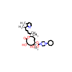 C/C(=C\C=C\C(C)c1ncccc1C)[C@H]1OC(=O)C[C@H](O)CC[C@@](C)(O)[C@@H](OC(=O)N2CCN(C3CCCCCC3)CC2)/C=C/[C@@H]1C